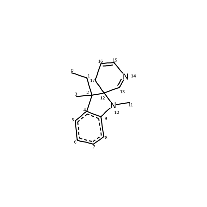 CCC1(C)c2ccccc2N(C)C12C=NC=CC2